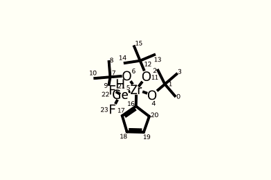 CC(C)(C)[O][Zr]([O]C(C)(C)C)([O]C(C)(C)C)([C]1=CC=CC1)[GeH]([F])[F]